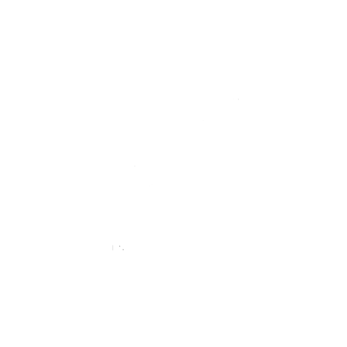 O=CC1CCC(OC(=O)C2CCNCC2)CC1